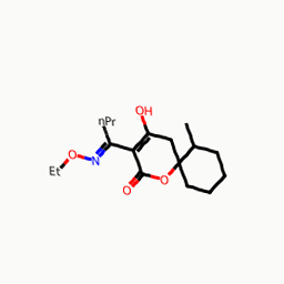 CCCC(=NOCC)C1=C(O)CC2(CCCCC2C)OC1=O